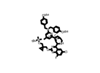 COc1ccc(CN(Cc2ccc(OC)cc2)c2cc(C)cc(C3CC4CNC(c5nc(OCC6(CO[Si](C)(C)C(C)(C)C)CC6)nc6c(F)cc(Cl)cc56)C3N4C(=O)O)n2)cc1